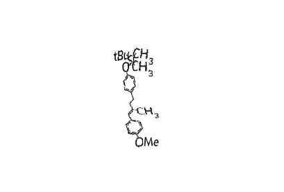 COc1ccc(/C=C(\C)CCc2ccc(O[Si](C)(C)C(C)(C)C)cc2)cc1